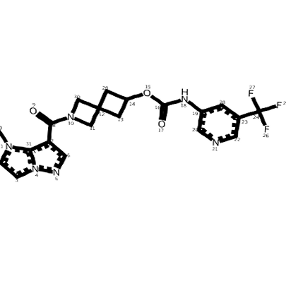 Cn1ccn2ncc(C(=O)N3CC4(CC(OC(=O)Nc5cncc(C(F)(F)F)c5)C4)C3)c12